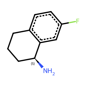 N[C@H]1CCCc2ccc(F)cc21